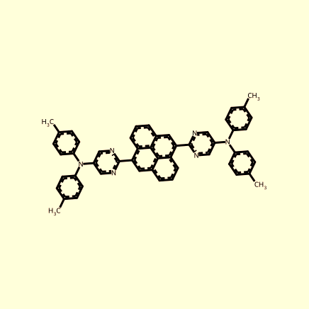 Cc1ccc(N(c2ccc(C)cc2)c2cnc(-c3cc4cccc5c(-c6ncc(N(c7ccc(C)cc7)c7ccc(C)cc7)cn6)cc6cccc3c6c45)nc2)cc1